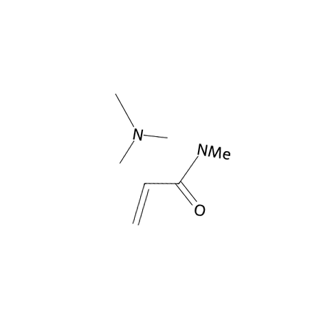 C=CC(=O)NC.CN(C)C